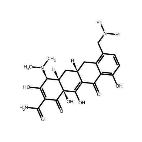 CCN(CC)Cc1ccc(O)c2c1C[C@H]1C[C@H]3[C@H](N(C)C)C(O)=C(C(N)=O)C(=O)[C@@]3(O)C(O)=C1C2=O